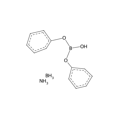 B.N.OB(Oc1ccccc1)Oc1ccccc1